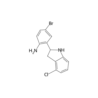 Nc1ccc(Br)cc1C1Cc2c(Cl)cccc2N1